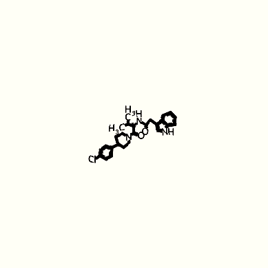 CC(C)[C@@H](NC(=O)Cc1c[nH]c2ccccc12)C(=O)N1CCC(c2ccc(Cl)cc2)CC1